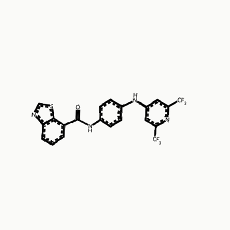 O=C(Nc1ccc(Nc2cc(C(F)(F)F)nc(C(F)(F)F)c2)cc1)c1cccc2ncsc12